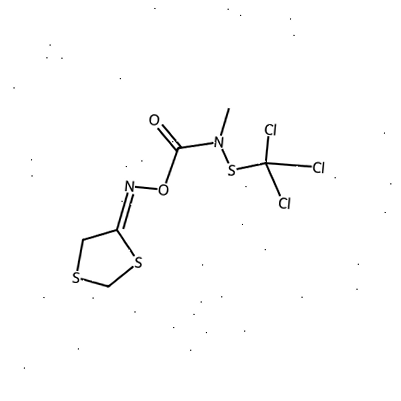 CN(SC(Cl)(Cl)Cl)C(=O)ON=C1CSCS1